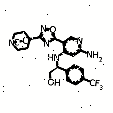 Nc1cc(N[C@H](CO)c2ccc(C(F)(F)F)cc2)c(-c2nc(C34CCN(CC3)CC4)no2)cn1